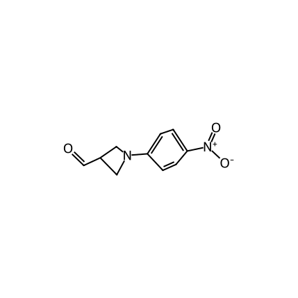 O=CC1CN(c2ccc([N+](=O)[O-])cc2)C1